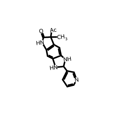 CC(=O)C1(C)C(=O)Nc2cc3c(cc21)NC(c1cccnc1)N3